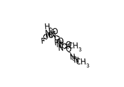 COc1cc2c(Oc3ccc(NC(=O)C4(C(=O)Nc5ccc(F)cc5)CCC4)cc3P)ncnc2cc1OCCCN1CCN(C)CC1